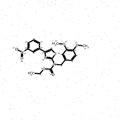 CCOC(=O)N(Cc1ccc(OC)c(OC)c1)c1nc(-c2cccc([N+](=O)[O-])c2)cs1